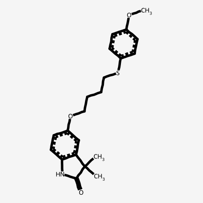 COc1ccc(SCCCCOc2ccc3c(c2)C(C)(C)C(=O)N3)cc1